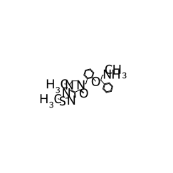 CNCC(Oc1ccccc1CN1CCN(C)c2nc(SC)ncc2C1=O)c1ccccc1